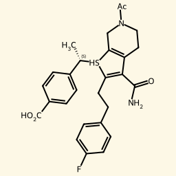 CC(=O)N1CCC2=C(C1)[SH]([C@@H](C)c1ccc(C(=O)O)cc1)C(CCc1ccc(F)cc1)=C2C(N)=O